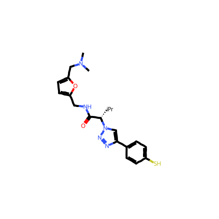 CC(C)[C@@H](C(=O)NCc1ccc(CN(C)C)o1)n1cc(-c2ccc(S)cc2)nn1